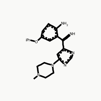 CC(C)Oc1ccc(N)c(C(=N)c2cc(N3CCN(C)CC3)ncn2)c1